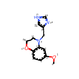 COc1ccc2c(c1)N(Cc1c[nH]cn1)CCO2